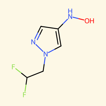 ONc1cnn(CC(F)F)c1